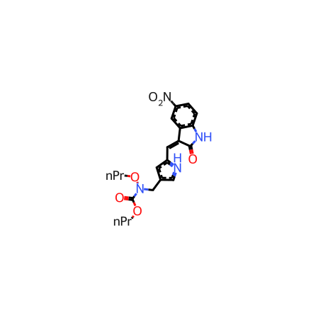 CCCOC(=O)N(Cc1c[nH]c(C=C2C(=O)Nc3ccc([N+](=O)[O-])cc32)c1)OCCC